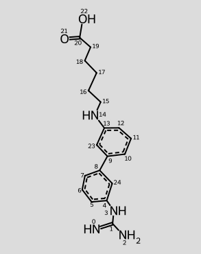 N=C(N)Nc1cccc(-c2cccc(NCCCCCC(=O)O)c2)c1